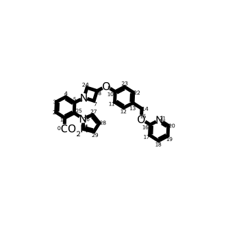 O=C(O)c1cccc(N2CC(Oc3ccc(COc4ccccn4)cc3)C2)c1-n1cccc1